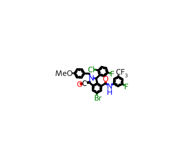 COc1ccc(CN2C(=C=O)c3cc(Br)cc(C(=O)Nc4cc(F)cc(C(F)(F)F)c4)c3C2c2cc(F)ccc2Cl)cc1